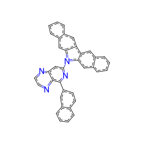 c1ccc2cc(-c3nc(-n4c5cc6ccccc6cc5c5cc6ccccc6cc54)cc4nccnc34)ccc2c1